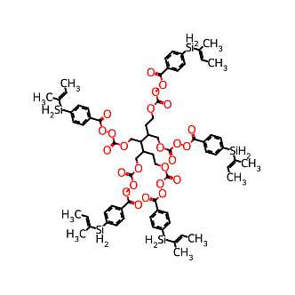 CC=C(C)[SiH2]c1ccc(C(=O)OOC(=O)OCCC(COC(=O)OOC(=O)c2ccc([SiH2]C(C)=CC)cc2)C(COC(=O)OOC(=O)c2ccc([SiH2]C(C)=CC)cc2)C(CCOC(=O)OOC(=O)c2ccc([SiH2]C(C)=CC)cc2)COC(=O)OOC(=O)c2ccc([SiH2]C(C)=CC)cc2)cc1